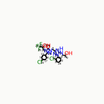 CC(O)CNc1nc(Cn2nc(-c3ccc(Cl)cc3)n(CC(O)C(F)(F)F)c2=O)nn1-c1ccccc1Cl